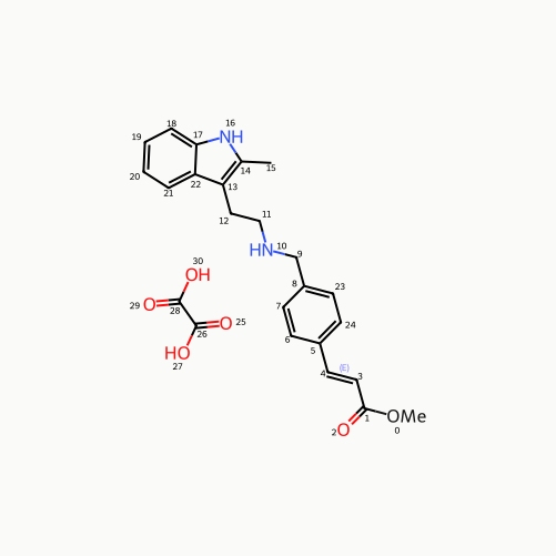 COC(=O)/C=C/c1ccc(CNCCc2c(C)[nH]c3ccccc23)cc1.O=C(O)C(=O)O